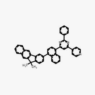 CC1(C)c2ccc(-c3ccc(-c4cc(-c5ccncc5)nc(-c5ccccc5)n4)c4ccccc34)cc2-c2cc3ccccc3cc21